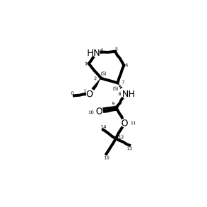 CO[C@H]1CNCC[C@@H]1NC(=O)OC(C)(C)C